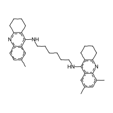 Cc1ccc2nc3c(c(NCCCCCCNc4c5c(nc6c(C)cc(C)cc46)CCCC5)c2c1)CCCC3